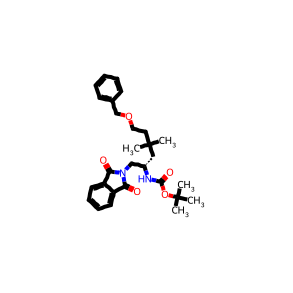 CC(C)(CCOCc1ccccc1)C[C@@H](CN1C(=O)c2ccccc2C1=O)NC(=O)OC(C)(C)C